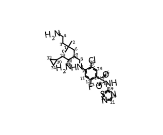 CC(C)(CCN)C[C@@H](CNc1cc(F)c(S(=O)(=O)Nc2ncns2)cc1Cl)[C@H](N)CC1CC1